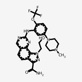 CN1CCN(c2ccc(OC(F)(F)F)c(Nc3ncc4ccc5c(C(N)=O)nn(CCO)c5c4n3)c2)CC1